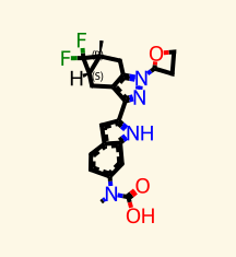 CN(C(=O)O)c1ccc2cc(-c3nn(C4CCO4)c4c3C[C@@H]3C(F)(F)[C@]3(C)C4)[nH]c2c1